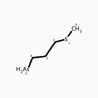 CSCCC[AsH2]